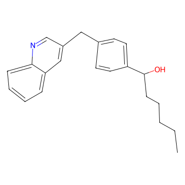 CCCCCC(O)c1ccc(Cc2cnc3ccccc3c2)cc1